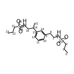 CCCS(=O)(=O)NCCc1cccc(C(C)CNS(=O)(=O)CCC)c1